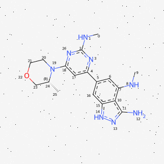 CNc1nc(-c2cc(NC)c3c(N)n[nH]c3c2)cc(N2CCOC[C@H]2C)n1